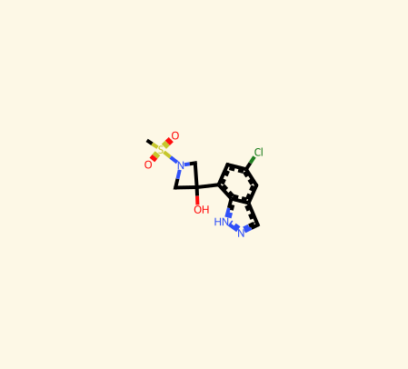 CS(=O)(=O)N1CC(O)(c2cc(Cl)cc3cn[nH]c23)C1